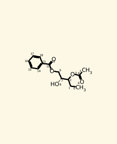 CCC(OC(C)=O)[C@H](O)COC(=O)c1ccccc1